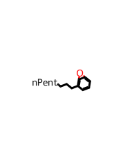 CCCCCCCCc1cccc2c1O2